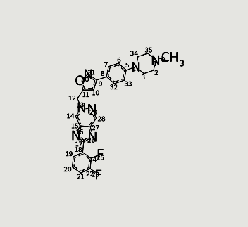 CN1CCN(c2ccc(-c3cc(Cn4cc5nc(-c6cccc(F)c6F)nc-5cn4)on3)cc2)CC1